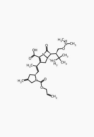 C=CCOC(=O)N1CC(=C)C[C@H]1C=C(C)C1=C(C(=O)O)N2C(=O)[C@@H]([C@@H](CO[SiH](C)C)C(C)(C)C)[C@H]2C1